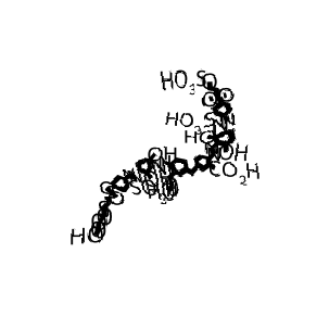 O=C(O)c1cc(Cc2ccc(/N=N/c3c(O)ccc(/N=N/c4ccc(S(=O)(=O)CCSOOOO)cc4S(=O)(=O)O)c3O)c(COO)c2)ccc1/N=N/c1c(O)ccc(/N=N/c2ccc(S(=O)(=O)CCOS(=O)(=O)O)cc2S(=O)(=O)O)c1O